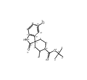 CC1CC2(CCN1C(=O)OC(C)(C)C)C(=O)Nc1ccc(Cl)cc12